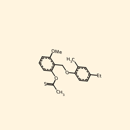 CCc1ccc(OCc2c(OC)cccc2OC(C)=S)c(C)c1